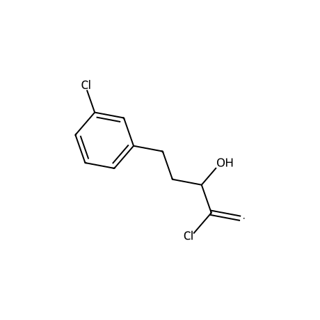 [CH]=C(Cl)C(O)CCc1cccc(Cl)c1